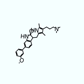 COc1cccc(-c2ccc3c(c2)NC(=O)C3Cc2[nH]c(C)c(CCCN(C)C)c2C)c1